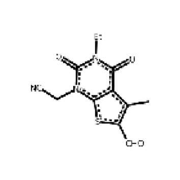 CCn1c(=O)c2c(C)c(C=O)sc2n(CC#N)c1=O